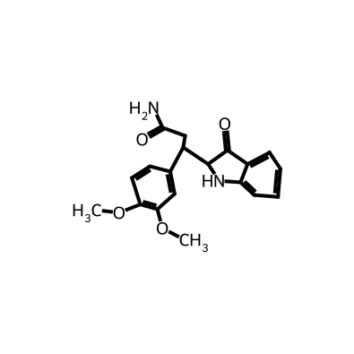 COc1ccc(C(CC(N)=O)C2Nc3ccccc3C2=O)cc1OC